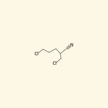 N#CC(CCl)CCCCl